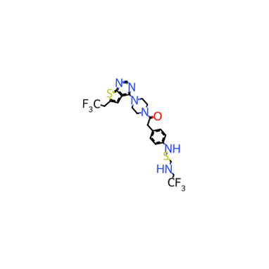 O=C(Cc1ccc(NSCNCC(F)(F)F)cc1)N1CCN(c2ncnc3sc(CC(F)(F)F)cc23)CC1